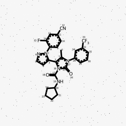 Cc1c(-c2ccnn2-c2ccc(C#N)cc2F)n(C(=O)NC2CCCC2)c(=O)n1-c1cccc(C(F)(F)F)c1